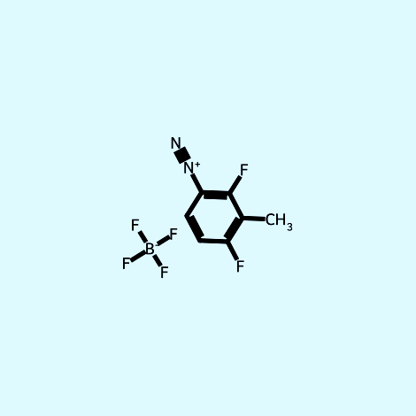 Cc1c(F)ccc([N+]#N)c1F.F[B-](F)(F)F